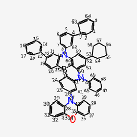 c1ccc(-c2cccc(N3c4cc(-c5ccccc5)ccc4B4c5ccc(N6c7ccccc7Oc7ccccc76)cc5N(c5ccccc5)c5cc(C6CCCCC6)cc3c54)c2)cc1